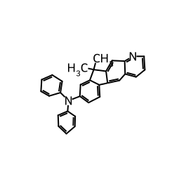 CC1(C)c2cc(N(c3ccccc3)c3ccccc3)ccc2-c2cc3cccnc3cc21